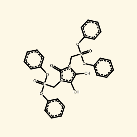 O=c1n(CP(=O)(Oc2ccccc2)Oc2ccccc2)c(O)c(O)n1CP(=O)(Oc1ccccc1)Oc1ccccc1